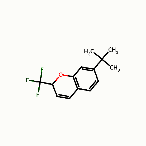 CC(C)(C)c1ccc2c(c1)OC(C(F)(F)F)C=C2